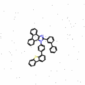 c1ccc(-c2cccc(-c3nc4c5ccccc5c5ccccc5c4n3-c3ccc(-c4cccc5c4sc4ccccc45)cc3)c2)cc1